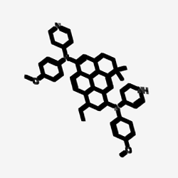 CCC1CC(N(C2C=CNCC2)C2C=CC(OC)CC2)C2C=C3C4C(C=C(N(C5=CCC(OC)CC5)C5CC=NCC5)C5C=CC1C2C54)CCC3(C)C